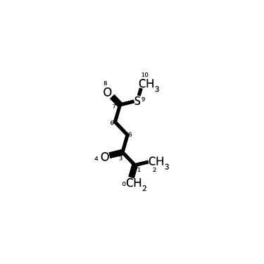 C=C(C)C(=O)CCC(=O)SC